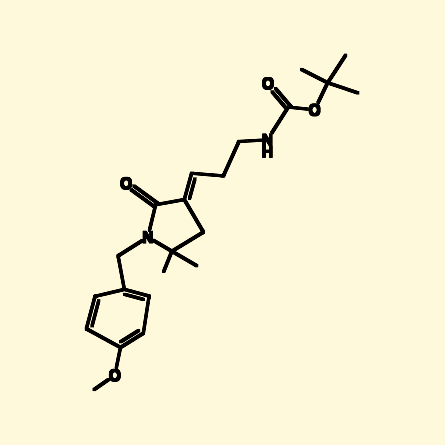 COc1ccc(CN2C(=O)C(=CCCNC(=O)OC(C)(C)C)CC2(C)C)cc1